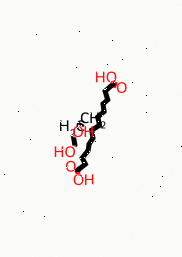 C=C.O=C(O)CCCCCCCCCCCCC(=O)O.OCCO